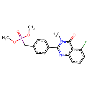 COP(=O)(Cc1ccc(-c2nc3cccc(F)c3c(=O)n2C)cc1)OC